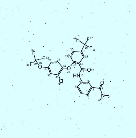 CN(C)C(=O)c1cccc(NC(=O)c2cc(C(F)(F)F)cnc2Oc2ccc(OC(F)(F)F)cc2Cl)c1